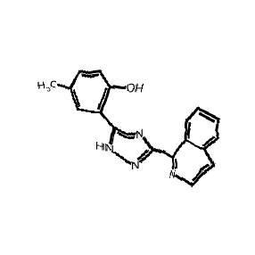 Cc1ccc(O)c(-c2nc(-c3nccc4ccccc34)n[nH]2)c1